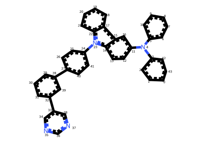 c1ccc(N(c2ccccc2)c2ccc3c(c2)c2ccccc2n3-c2ccc(-c3cccc(-c4cncnc4)c3)cc2)cc1